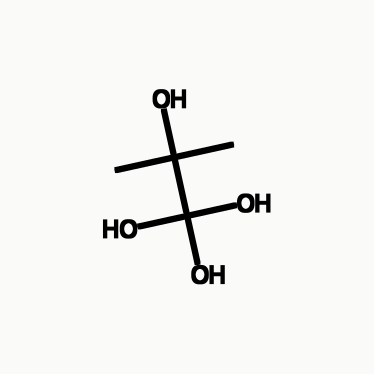 CC(C)(O)C(O)(O)O